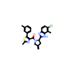 C=C1CC(c2nc3ccc(Cl)c(C)c3[nH]2)N(C(=O)c2nc(C)sc2-c2cccc(C)c2)C1